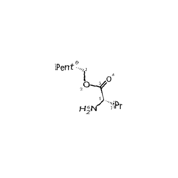 CCC[C@@H](C)COC(=O)[C@@H](N)C(C)C